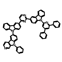 c1ccc(-c2cc(-c3ccccc3)nc(-n3c4ccccc4c4cc(-c5nccc(-c6ccc7c(c6)c6ccccc6n7-c6ccc7c(c6)c6ccncc6n7-c6ccccc6)n5)ccc43)c2)cc1